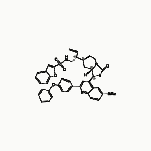 C=C[C@@H](CNS(=O)(=O)c1cc2ccccc2o1)[C@H]1CCN2C(=O)S[C@@H](c3cc(-c4ccc(Oc5ccccc5)cc4)nc4ccc(OC)cc34)[C@@H]2C1